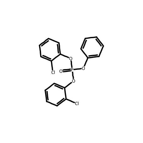 O=P(Oc1ccccc1)(Oc1ccccc1Cl)Oc1ccccc1Cl